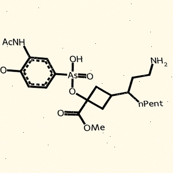 CCCCCC(CCN)C1CC(O[As](=O)(O)c2ccc(O)c(NC(C)=O)c2)(C(=O)OC)C1